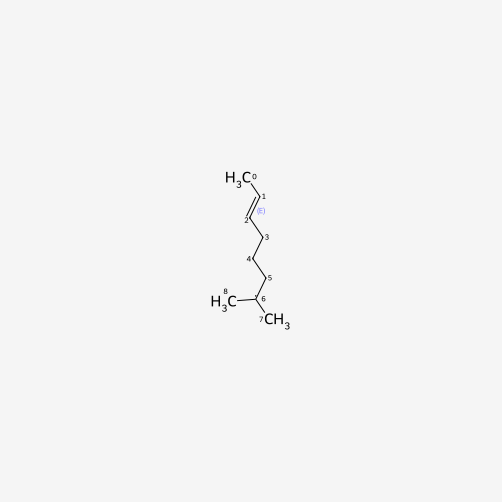 C/C=C/CCC[C](C)C